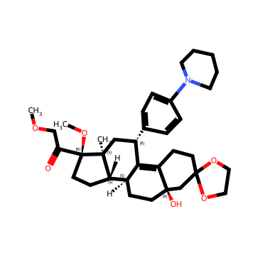 COCC(=O)[C@@]1(OC)CC[C@H]2[C@@H]3CC[C@@]4(O)CC5(CCC4=C3[C@@H](c3ccc(N4CCCCC4)cc3)C[C@@]21C)OCCO5